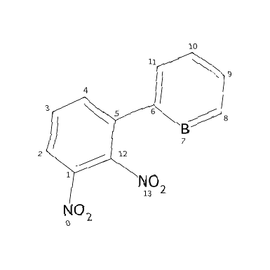 O=[N+]([O-])c1cccc(-c2bcccc2)c1[N+](=O)[O-]